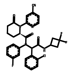 N#Cc1ccnc(N2C(=O)CCC[C@H]2C(=O)N(c2cccc(F)c2)C(C(=O)NC2CC(F)(F)C2)c2ccccc2Cl)c1